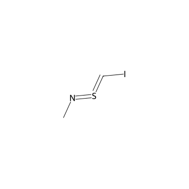 CN=S=CI